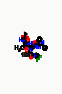 C=C[C@@H]1C[C@]1(NC(=O)[C@@H]1C[C@@H](NC(=O)c2cc(-c3ccccc3)nc3ccccc23)CN1C(=O)[C@@H](CC(=O)N1C=CC(F)(F)C1)C(C)(C)C)C(=O)NS(=O)(=O)C1CC1